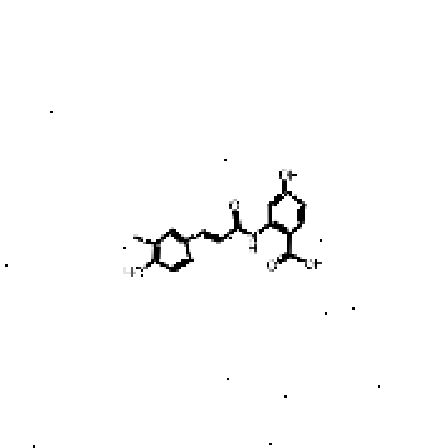 Cc1cc(/C=C/C(=O)Nc2cc(O)ccc2C(=O)O)ccc1O